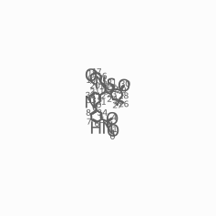 CONC(=O)c1cccc(-c2cc(-c3c(N4CCOCC4)sc4c3CC(C)(C)CC4=O)ccn2)c1